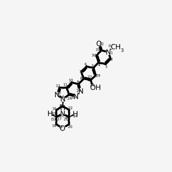 Cn1ccc(-c2ccc(-c3cc4cnn([C@@H]5C[C@H]6COC[C@@H](C5)N6)c4nn3)c(O)c2)cc1=O